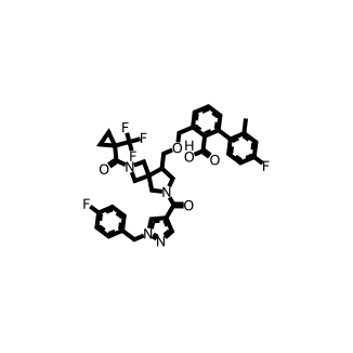 Cc1cc(F)ccc1-c1cccc(COCC2CN(C(=O)c3cnn(Cc4ccc(F)cc4)c3)CC23CN(C(=O)C2(C(F)(F)F)CC2)C3)c1C(=O)O